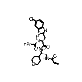 C=CC(=O)NC[C@@H](NC(=O)[C@H](Cc1nc2ccc(Cl)cc2s1)NC(=O)CCC)C1CCOCC1